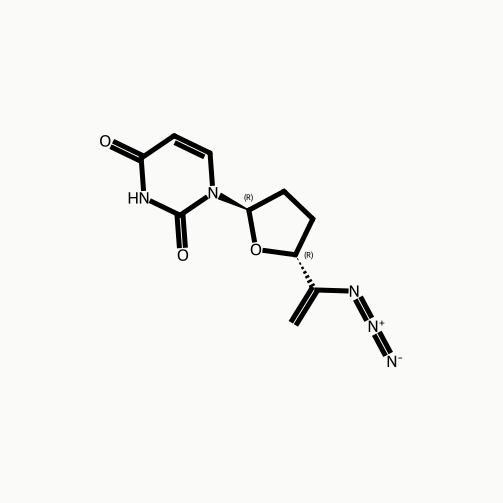 C=C(N=[N+]=[N-])[C@H]1CC[C@H](n2ccc(=O)[nH]c2=O)O1